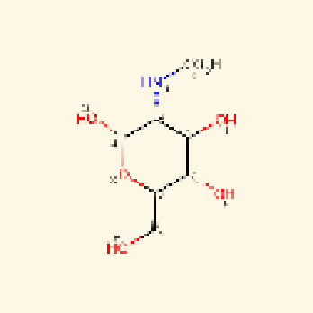 O=C(O)N[C@@H]1C(O)[C@H](O)[C@@H](CO)O[C@@H]1O